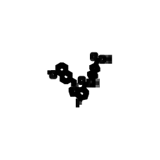 COc1cccc2cc(Cn3ccc4c(F)ccc(C(=O)NC5CC6(C5)CC(C(=O)O)C6)c43)ccc12